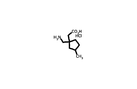 CC1CCC(CN)(CC(=O)O)C1.Cl